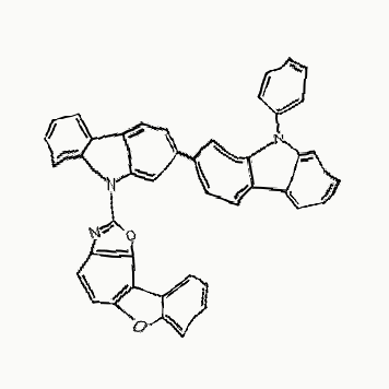 c1ccc(-n2c3ccccc3c3ccc(-c4ccc5c6ccccc6n(-c6nc7ccc8oc9ccccc9c8c7o6)c5c4)cc32)cc1